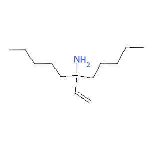 C=CC(N)(CCCCC)CCCCC